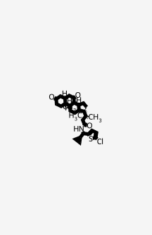 C[C@H](CC(=O)NC(c1ccc(Cl)s1)C1CC1)[C@H]1CC[C@H]2[C@@H]3C(=O)C[C@@H]4CC(=O)CC[C@]4(C)[C@H]3CC[C@]12C